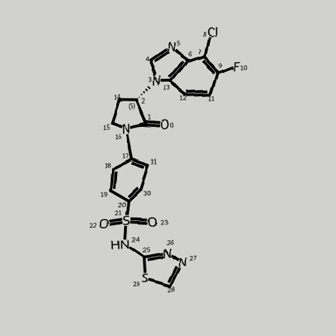 O=C1[C@@H](n2cnc3c(Cl)c(F)ccc32)CCN1c1ccc(S(=O)(=O)Nc2nncs2)cc1